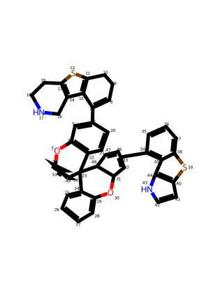 C1=CC2Oc3cc(C4=CCCc5sc6c(c54)CNCC6)ccc3C3(c4ccccc4OC4C=C(c5cccc6sc7cc[nH]c7c56)C=CC43)C2C=C1